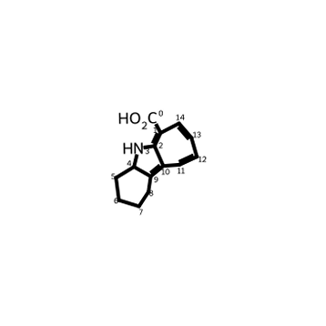 O=C(O)C1=C2NC3CCCCC3=C2C=CC=C1